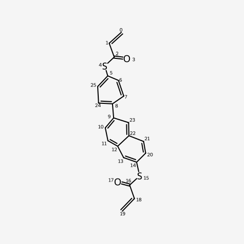 C=CC(=O)Sc1ccc(-c2ccc3cc(SC(=O)C=C)ccc3c2)cc1